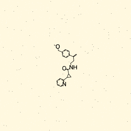 C=C(CCNC(=O)C1CC1c1ccccn1)c1ccc(COC)cc1